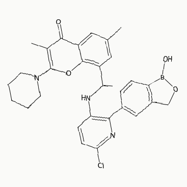 Cc1cc(C(C)Nc2ccc(Cl)nc2-c2ccc3c(c2)COB3O)c2oc(N3CCCCC3)c(C)c(=O)c2c1